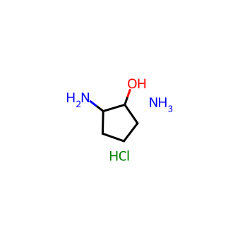 Cl.N.NC1CCCC1O